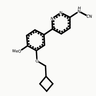 COc1ccc(-c2ccc(NC#N)nn2)cc1OCC1CCC1